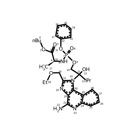 CCCCOC(=O)[C@H](C)NP(=O)(OCC(O)(C(C)C)n1c(COCC)nc2c(N)nc3ccccc3c21)Oc1ccccc1